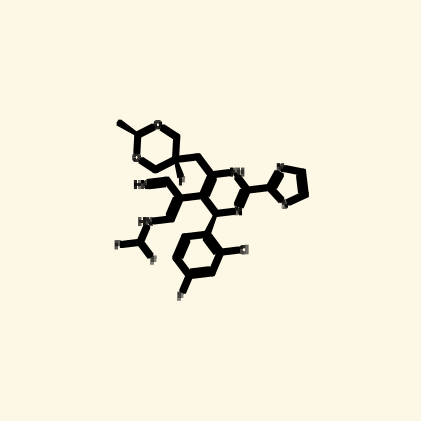 C[C@H]1OC[C@](F)(CC2=C(/C(C=N)=C/NC(F)F)[C@H](c3ccc(F)cc3Cl)N=C(c3nccs3)N2)CO1